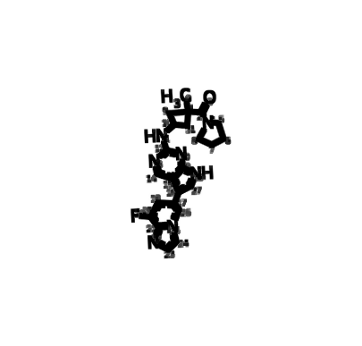 CC1(C(=O)N2CCCC2)CC(Nc2ncc3c(-c4cc(F)c5nccn5c4)c[nH]c3n2)C1